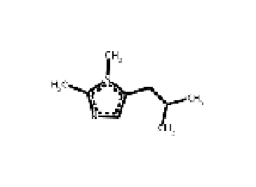 Cc1ncc(CC(C)C)n1C